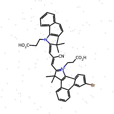 CC1(C)C(/C=C(C#N)/C=C2/N(CCC(=O)O)c3c(ccc4ccccc34)C2(C)C)=[N+](CCC(=O)O)c2c1c1ccccc1c1cc(Br)ccc21